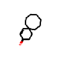 O=C1C=CC2(CCCCCCC2)CC1